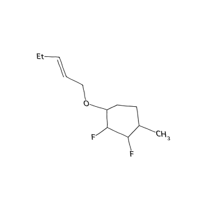 CCC=CCOC1CCC(C)C(F)C1F